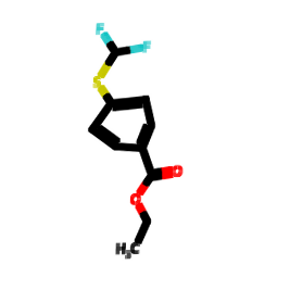 CCOC(=O)c1ccc(SC(F)F)cc1